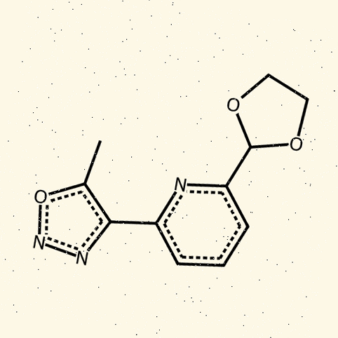 Cc1onnc1-c1cccc(C2OCCO2)n1